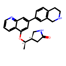 C[C@@H](Oc1cc(-c2ccc3c(c2)CNCC3)cc2ncccc12)[C@H]1CNC(=O)C1